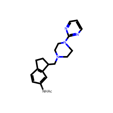 CC(=O)Nc1ccc2c(c1)C(CN1CCN(c3ncccn3)CC1)CC2